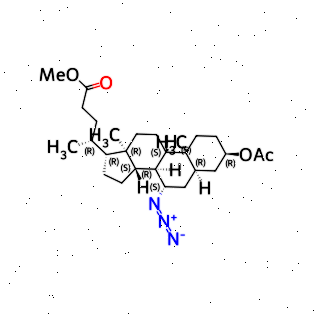 COC(=O)CC[C@@H](C)[C@H]1CC[C@H]2[C@@H]3[C@@H](N=[N+]=[N-])C[C@@H]4C[C@H](OC(C)=O)CC[C@]4(C)[C@H]3CC[C@]12C